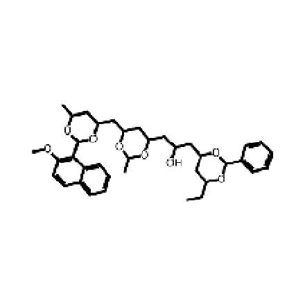 CCC1CC(CC(O)CC2CC(CC3CC(C)OC(c4c(OC)ccc5ccccc45)O3)OC(C)O2)OC(c2ccccc2)O1